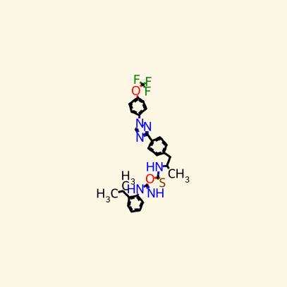 CC(Cc1ccc(-c2ncn(-c3ccc(OC(F)(F)F)cc3)n2)cc1)NC(=S)OC(=N)Nc1ccccc1C(C)C